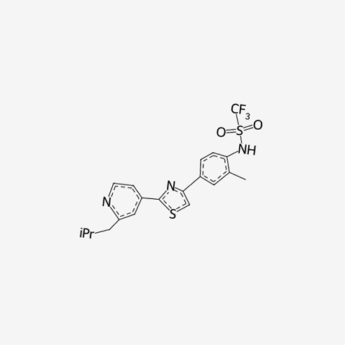 Cc1cc(-c2csc(-c3ccnc(CC(C)C)c3)n2)ccc1NS(=O)(=O)C(F)(F)F